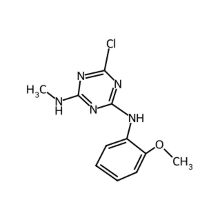 CNc1nc(Cl)nc(Nc2ccccc2OC)n1